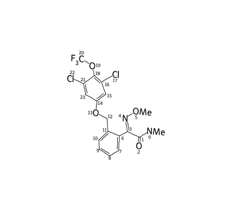 CNC(=O)C(=NOC)c1ccccc1COc1cc(Cl)c(OC(F)(F)F)c(Cl)c1